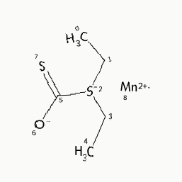 CC[S-](CC)C([O-])=S.[Mn+2]